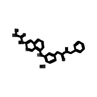 CCNC(=O)Nc1cc2cccc(Nc3cccc(CC(=O)NCc4ccccc4)c3)c2cn1.Cl